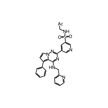 CC(=O)CNS(=O)(=O)c1cncc(-c2nc(NCc3ccccn3)c3c(-c4ccccc4)ccn3n2)c1